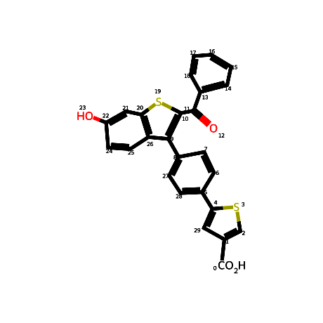 O=C(O)c1csc(-c2ccc(-c3c(C(=O)c4ccccc4)sc4cc(O)ccc34)cc2)c1